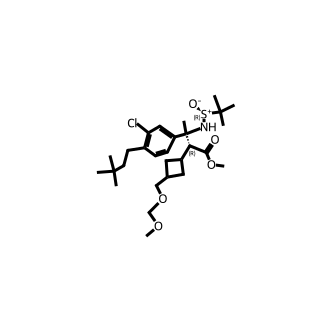 COCOCC1CC([C@@H](C(=O)OC)C(C)(N[S@@+]([O-])C(C)(C)C)c2ccc(CCC(C)(C)C)c(Cl)c2)C1